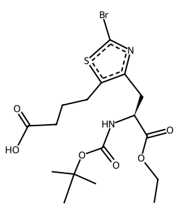 CCOC(=O)[C@H](Cc1nc(Br)sc1CCCC(=O)O)NC(=O)OC(C)(C)C